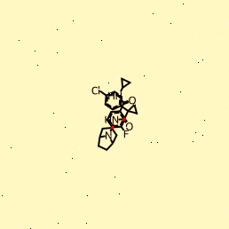 O=C(NC1CC1)c1ccc(N2C3CCC2CC(NC(=O)C2(c4ccc(Cl)cc4)CC2)C3)c(F)c1